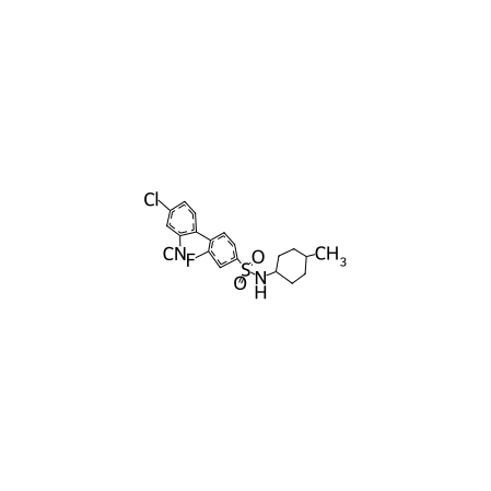 CC1CCC(NS(=O)(=O)c2ccc(-c3ccc(Cl)cc3C#N)c(F)c2)CC1